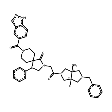 N[C@@]12CN(Cc3ccccc3)C[C@@H]1CN(C(=O)CN1CN(c3ccccc3)C3(CCN(C(=O)c4ccc5[nH]ncc5c4)CC3)C1=O)C2